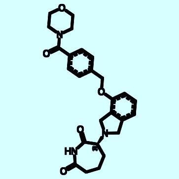 O=C1CCC[C@H](N2Cc3cccc(OCc4ccc(C(=O)N5CCOCC5)cc4)c3C2)C(=O)N1